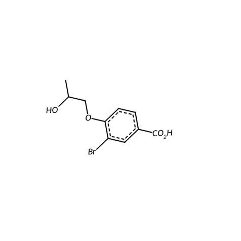 CC(O)COc1ccc(C(=O)O)cc1Br